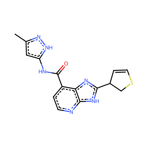 Cc1cc(NC(=O)c2ccnc3[nH]c(C4C=CSC4)nc23)[nH]n1